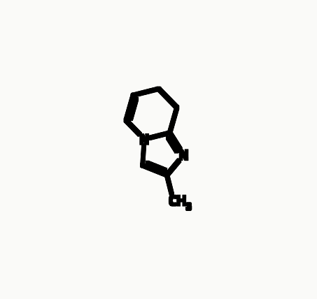 Cc1cn2c(n1)CCC=C2